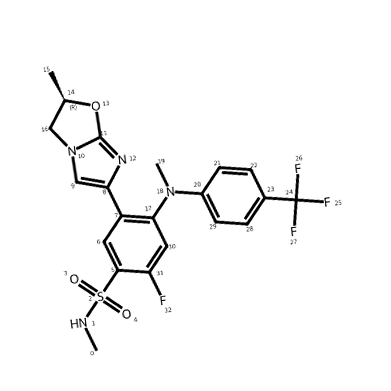 CNS(=O)(=O)c1cc(-c2cn3c(n2)O[C@H](C)C3)c(N(C)c2ccc(C(F)(F)F)cc2)cc1F